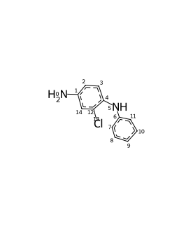 Nc1ccc(Nc2ccccc2)c(Cl)c1